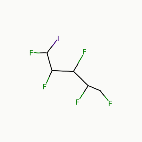 FCC(F)C(F)C(F)C(F)I